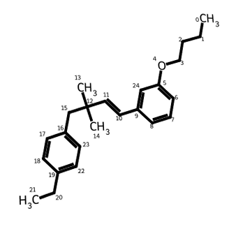 CCCCOc1cccc(C=CC(C)(C)Cc2ccc(CC)cc2)c1